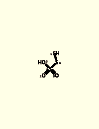 O=S(=O)(O)SS